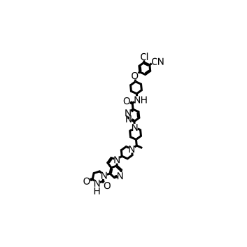 CC(C1CCN(c2ccc(C(=O)NC3CCC(Oc4ccc(C#N)c(Cl)c4)CC3)nn2)CC1)N1CCC(n2ccc3c(N4CCC(=O)NC4=O)cncc32)CC1